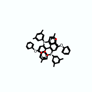 Cc1cc(C)cc(P(c2cc(C)cc(C)c2)c2cc(Oc3ccccc3)c3c(c2-c2c(P(c4cc(C)cc(C)c4)c4cc(C)cc(C)c4)cc(Oc4ccccc4)c4c2OCO4)OCO3)c1